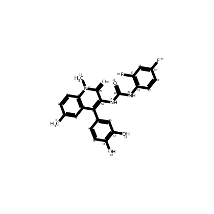 Cc1ccc2c(c1)c(-c1ccc(O)c(O)c1)c(NC(=O)Nc1ccc(F)cc1F)c(=O)n2C